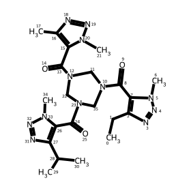 CCc1nnn(C)c1C(=O)N1CN(C(=O)c2c(C)nnn2C)CN(C(=O)c2c(C(C)C)nnn2C)C1